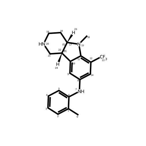 Cc1ccccc1Nc1cc2c(c(C(F)(F)F)c1)N(C)[C@H]1CCNC[C@@H]21